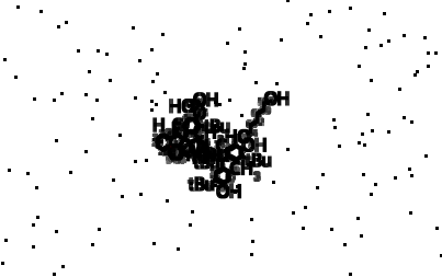 CCCC(c1cc(C(C)(C)C)c(O)cc1C)c1cc(C(C)(C)C)c(O)cc1C.CCCCCCCCc1ccccc1C(CC)C(c1cc(C(C)(C)C)c(O)cc1C)(c1cc(C(C)(C)C)c(OP(O)O)cc1C)c1ccccc1CCCCCCCC.OCCCCCCO